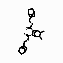 CC1C(C)C2CC1[C@@H](C(=O)OCC1CC3CCC1C3)[C@H]2C(=O)OCC1CC2CCC1C2